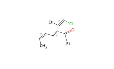 C\C=C/C=C(C(=O)CC)\C(=C/Cl)CC